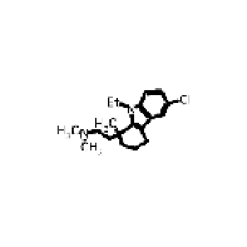 CCn1c2c(c3cc(Cl)ccc31)CCCC2(C)CCN(C)C